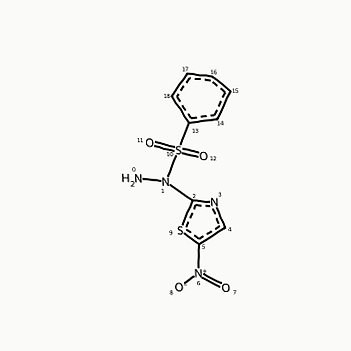 NN(c1ncc([N+](=O)[O-])s1)S(=O)(=O)c1ccccc1